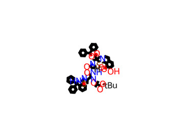 CC(C)(C)OC(=O)C(C)(C)ON=C(C(=O)NC1C(=O)N2CC(Cn3ccc4ccc(O)c(=O)c-4c3)(C(=O)OC(c3ccccc3)c3ccccc3)C[S+]([O-])[C@H]12)c1csc(NC(c2ccccc2)(c2ccccc2)c2ccccc2)n1